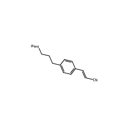 CCCC(C)CCCc1ccc(C=CC#N)cc1